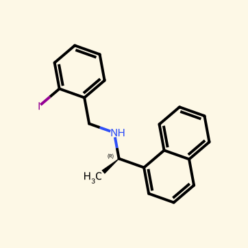 C[C@@H](NCc1ccccc1I)c1cccc2ccccc12